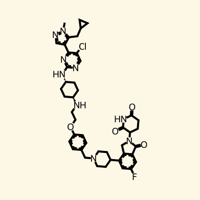 Cn1ncc(-c2nc(N[C@H]3CC[C@H](NCCOc4ccc(CN5CCC(c6cc(F)cc7c6CN(C6CCC(=O)NC6=O)C7=O)CC5)cc4)CC3)ncc2Cl)c1CC1CC1